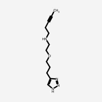 CC#CCCNCCOCCCc1c[nH]nn1